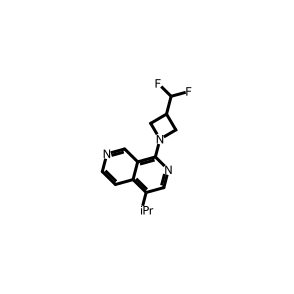 CC(C)c1cnc(N2CC(C(F)F)C2)c2cnccc12